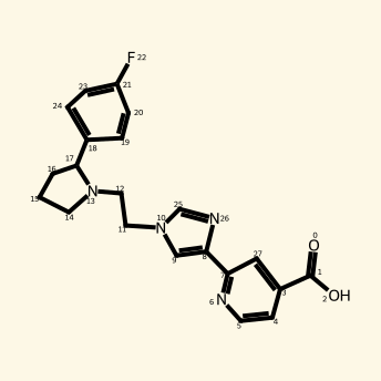 O=C(O)c1ccnc(-c2cn(CCN3CCCC3c3ccc(F)cc3)cn2)c1